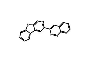 c1ccc2nnc(-c3cc4c(cn3)sc3ccccc34)cc2c1